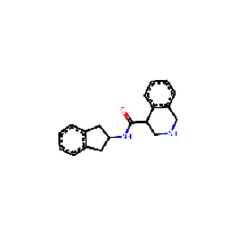 O=C(NC1Cc2ccccc2C1)C1CNCc2ccccc21